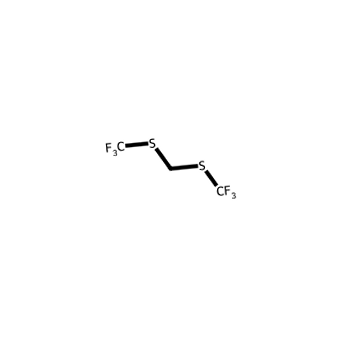 FC(F)(F)SCSC(F)(F)F